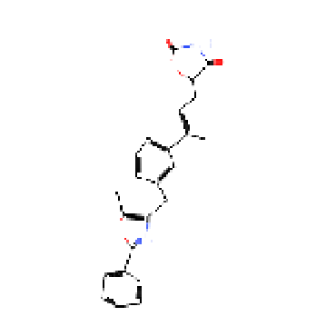 C/C(=C\CC1OC(=O)NC1=O)c1cccc(Cc2nc(-c3ccccc3)oc2C)c1